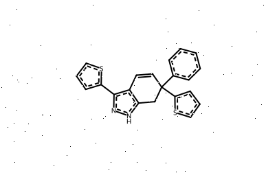 C1=CC(c2ccccc2)(c2cccs2)Cc2[nH]nc(-c3cccs3)c21